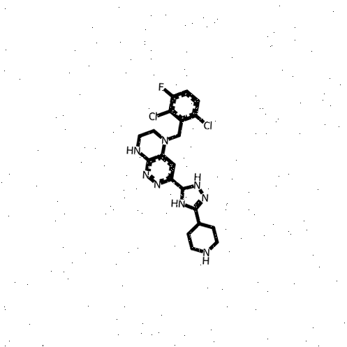 Fc1ccc(Cl)c(CN2CCNc3nnc(C4NN=C(C5CCNCC5)N4)cc32)c1Cl